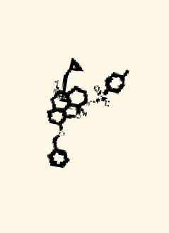 Cc1ccc(S(=O)(=O)C[C@H]2CCC3(O)[C@H]4Cc5ccc(OCc6ccccc6)c6c5[C@@]3(CCN4CC3CC3)[C@H]2O6)cc1